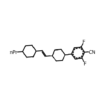 CCCC1CCC(C=CC2CCC(c3cc(F)c(C#N)c(F)c3)CC2)CC1